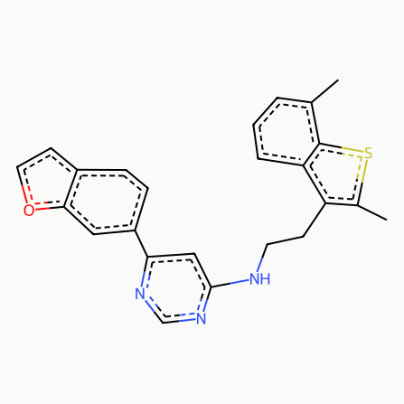 Cc1sc2c(C)cccc2c1CCNc1cc(-c2ccc3ccoc3c2)ncn1